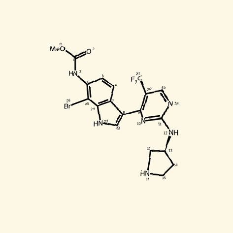 COC(=O)Nc1ccc2c(-c3nc(N[C@H]4CCNC4)ncc3C(F)(F)F)c[nH]c2c1Br